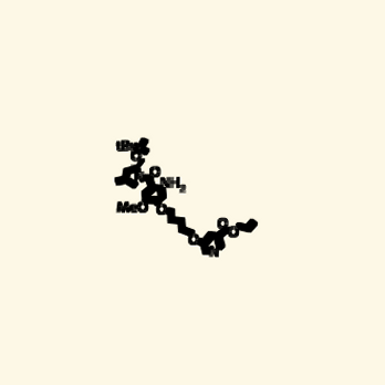 C=CCOC(=O)c1cncc(OCCCCCOc2cc(N)c(C(=O)N3CC(=C)C[C@H]3CO[Si](C)(C)C(C)(C)C)cc2OC)c1